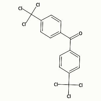 O=C(c1ccc(C(Cl)(Cl)Cl)cc1)c1ccc(C(Cl)(Cl)Cl)cc1